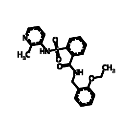 CCOc1ccccc1CNC(=O)c1ccccc1S(=O)(=O)Nc1cccnc1C